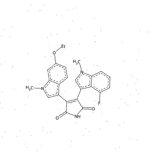 CCOc1ccc2c(C3=C(c4cn(C)c5cccc(F)c45)C(=O)NC3=O)cn(C)c2c1